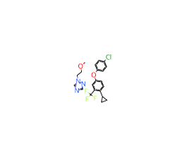 COCCn1cncn1.FC(F)(F)c1cc(Oc2ccc(Cl)cc2)ccc1C1CC1